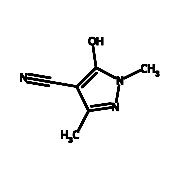 Cc1nn(C)c(O)c1C#N